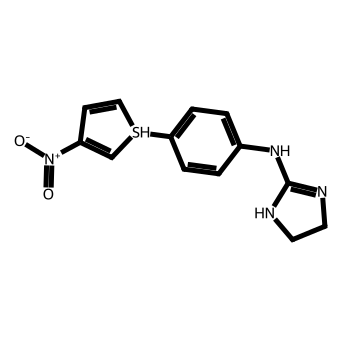 O=[N+]([O-])C1=C[SH](c2ccc(NC3=NCCN3)cc2)C=C1